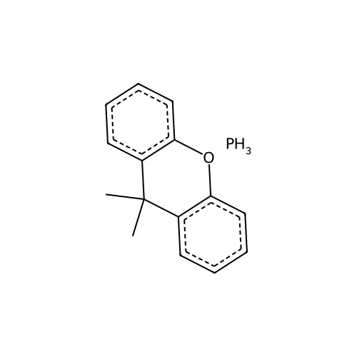 CC1(C)c2ccccc2Oc2ccccc21.P